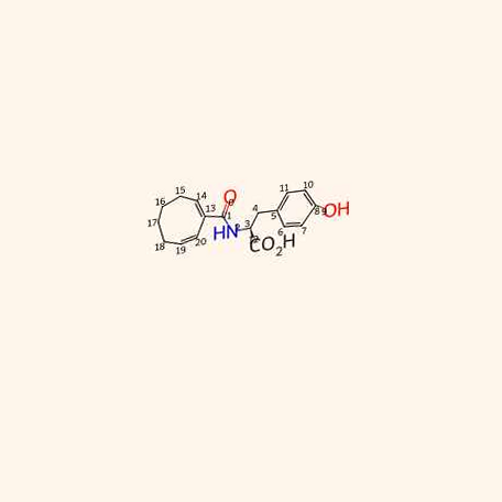 O=C(N[C@@H](Cc1ccc(O)cc1)C(=O)O)C1=CCCCCC=C1